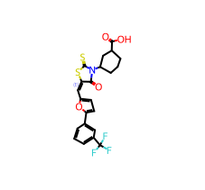 O=C(O)C1CCCC(N2C(=O)/C(=C\c3ccc(-c4cccc(C(F)(F)F)c4)o3)SC2=S)C1